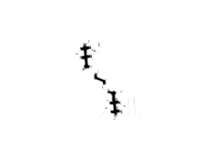 CC(C)(C)C(C)(C)C(=O)NCCOC(=O)C(C)(C)C(C)(C)C